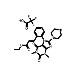 CCOC(=O)C=Cc1ccccc1-n1c(N2CCNCC2)nc2c1c(=O)n(C)c(=O)n2C.O=C(O)C(F)(F)F